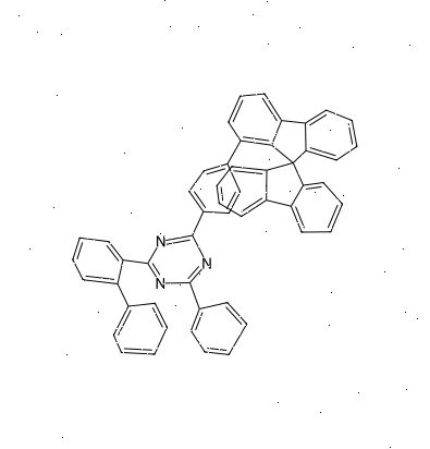 c1ccc(-c2nc(-c3ccc(-c4cccc5c4C4(c6ccccc6-c6ccccc64)c4ccccc4-5)cc3)nc(-c3ccccc3-c3ccccc3)n2)cc1